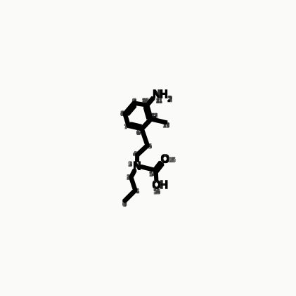 CCCN(CCc1cccc(N)c1C)C(=O)O